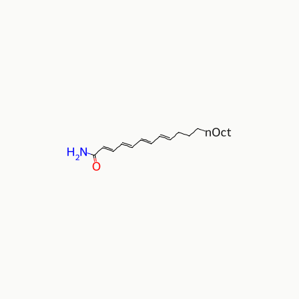 CCCCCCCCCCC/C=C/C=C/C=C/C=C/C(N)=O